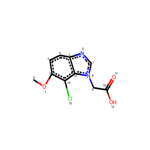 COc1ccc2ncn(CC(=O)O)c2c1Cl